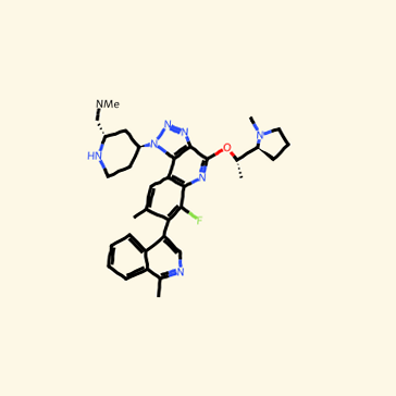 CNC[C@@H]1C[C@@H](n2nnc3c(O[C@@H](C)[C@@H]4CCCN4C)nc4c(F)c(-c5cnc(C)c6ccccc56)c(C)cc4c32)CCN1